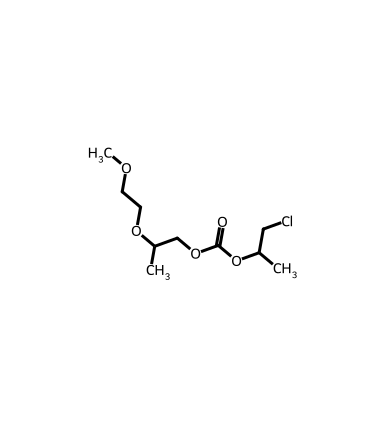 COCCOC(C)COC(=O)OC(C)CCl